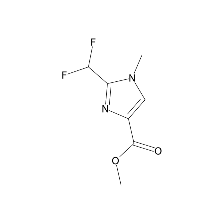 COC(=O)c1cn(C)c(C(F)F)n1